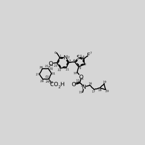 Cc1nc(-c2sc(F)cc2COC(=O)N(C)CCC2CC2)ccc1O[C@H]1CCC[C@H](C(=O)O)C1